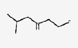 CC(C)CNCCF